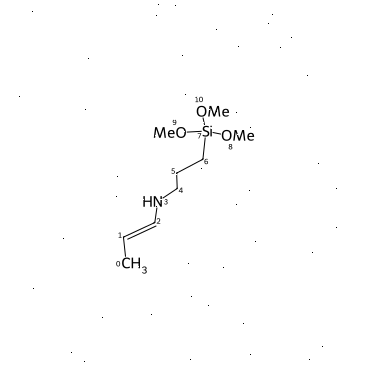 CC=CNCCC[Si](OC)(OC)OC